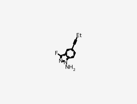 CCC#Cc1ccc2c(c1)c(F)nn2N